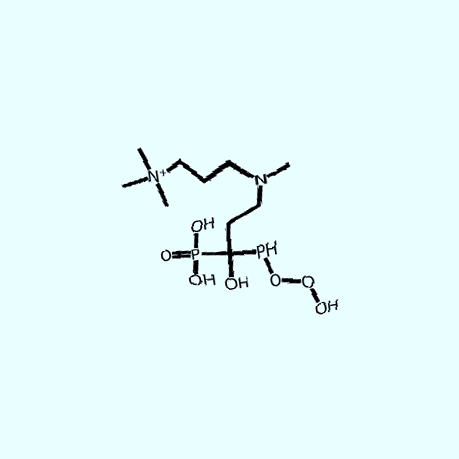 CN(CCC[N+](C)(C)C)CCC(O)(POOO)P(=O)(O)O